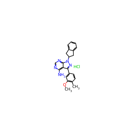 COc1cc(-c2nn(C3Cc4ccccc4C3)c3ncnc(N)c23)ccc1C.Cl